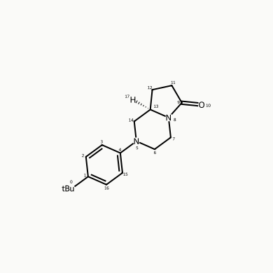 CC(C)(C)c1ccc(N2CCN3C(=O)CC[C@@H]3C2)cc1